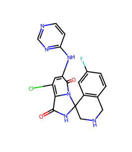 O=C1NC2(CNCc3ccc(F)cc32)n2c1c(Cl)cc(Nc1ccncn1)c2=O